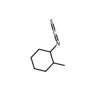 CC1CCCCC1N=C=S